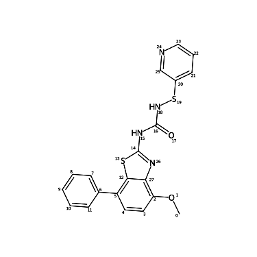 COc1ccc(-c2ccccc2)c2sc(NC(=O)NSc3cccnc3)nc12